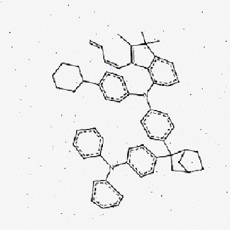 C=C/C=C\C1=C(C)C(C)(C)c2cccc(N(c3ccc(C4CCCCC4)cc3)c3ccc(C4(c5ccc(N(c6ccccc6)c6ccccc6)cc5)CC5CCC4C5)cc3)c21